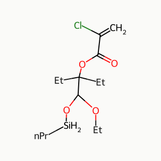 C=C(Cl)C(=O)OC(CC)(CC)C(OCC)O[SiH2]CCC